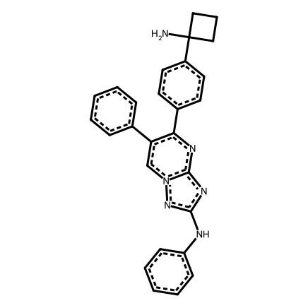 NC1(c2ccc(-c3nc4nc(Nc5ccccc5)nn4cc3-c3ccccc3)cc2)CCC1